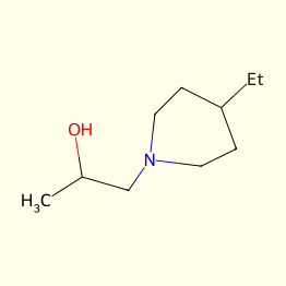 CCC1CCN(CC(C)O)CC1